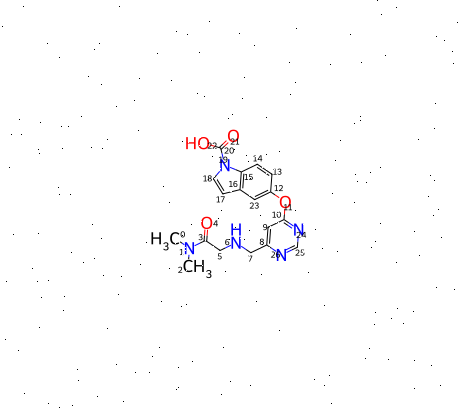 CN(C)C(=O)CNCc1cc(Oc2ccc3c(ccn3C(=O)O)c2)ncn1